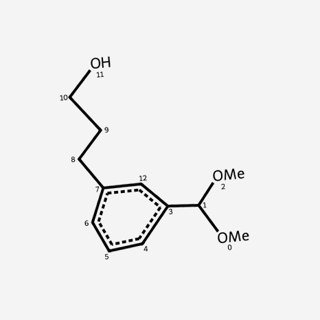 COC(OC)c1cccc(CCCO)c1